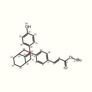 CC(C)(C)OC(=O)/C=C/c1ccc(C(=C2C3CCCC2CCC3)c2ccc(O)cc2)cc1